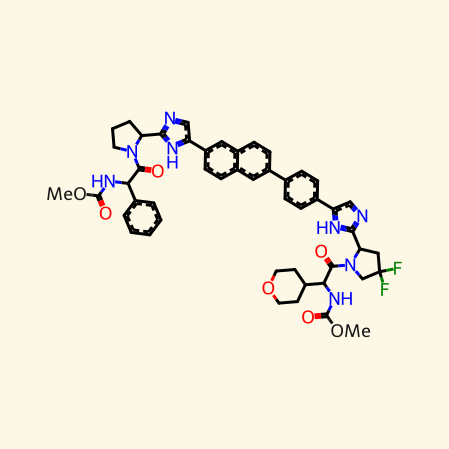 COC(=O)NC(C(=O)N1CCCC1c1ncc(-c2ccc3cc(-c4ccc(-c5cnc(C6CC(F)(F)CN6C(=O)C(NC(=O)OC)C6CCOCC6)[nH]5)cc4)ccc3c2)[nH]1)c1ccccc1